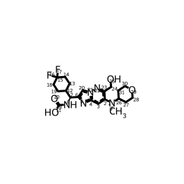 CN(c1cc2nc([C@@H](NC(=O)O)C3CCC(F)(F)CC3)cn2nc1CO)C1CCOCC1